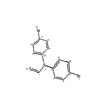 S=CN(c1ccc(Br)cc1)c1ccc(Br)cc1